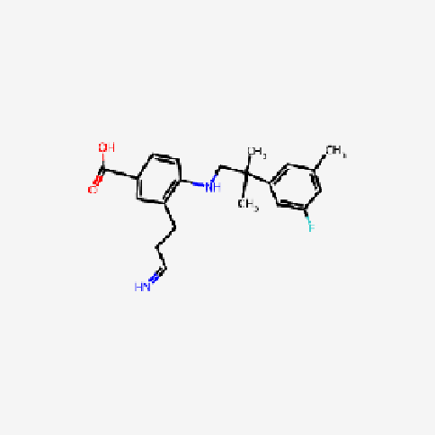 Cc1cc(F)cc(C(C)(C)CNc2ccc(C(=O)O)cc2CCC=N)c1